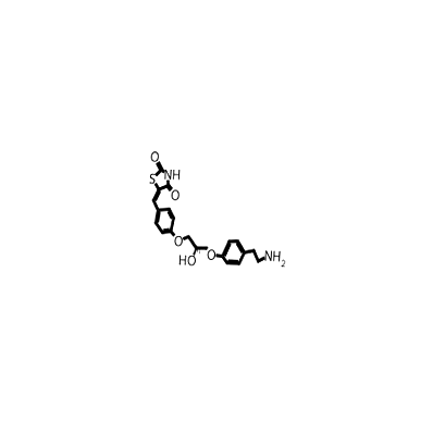 NCCc1ccc(OC[C@@H](O)COc2ccc(C=C3SC(=O)NC3=O)cc2)cc1